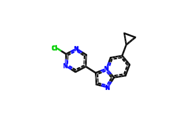 Clc1ncc(-c2cnc3ccc(C4CC4)cn23)cn1